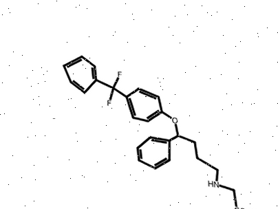 O=C(O)CNCCCC(Oc1ccc(C(F)(F)c2ccccc2)cc1)c1ccccc1